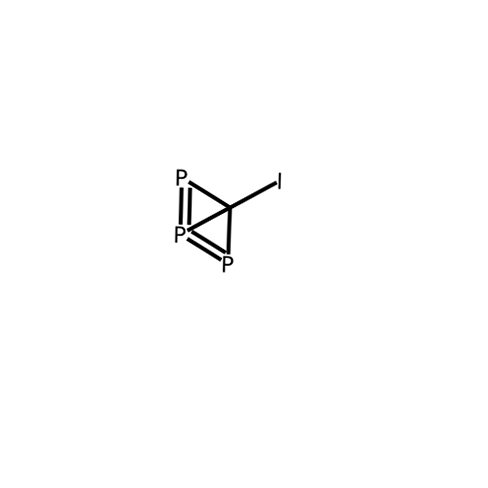 IC12P=P1=P2